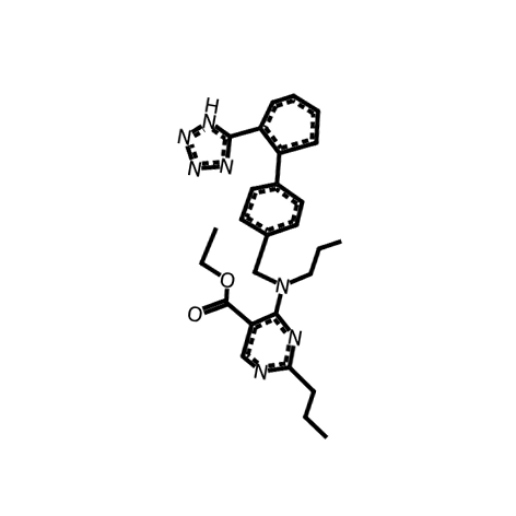 CCCc1ncc(C(=O)OCC)c(N(CCC)Cc2ccc(-c3ccccc3-c3nnn[nH]3)cc2)n1